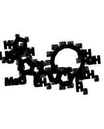 COc1cc(C(=O)N2[C@H]3CC[C@@H]2[C@H](N)C3)cc2nc(-c3cc4ccc5nc4n3CCCCCCNC(O)CC5(C)C)n(C)c12